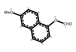 COc1ccc2c(OC=O)cccc2c1